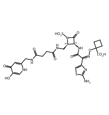 Nc1nc(/C(=N/OC2(C(=O)O)CCC2)C(=O)N[C@@H]2C(=O)N(S(=O)(=O)O)[C@@H]2CNC(=O)CCC(=O)NCc2cc(=O)c(O)c[nH]2)cs1